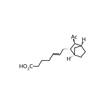 CC(=O)[C@H]1[C@@H]2CC[C@H](C2)[C@@H]1C/C=C/CCCC(=O)O